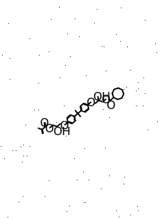 C=C(C)C(=O)OCC(O)COc1ccc(C(C)(C)c2ccc(OCC(O)COC(=O)C3CCCCCCC3)cc2)cc1